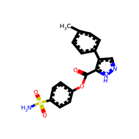 Cc1ccc(-c2cn[nH]c2C(=O)Oc2ccc(S(N)(=O)=O)cc2)cc1